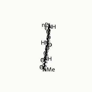 CCCNC(=O)COCCOCCNC(=O)COCCOCCNC(=O)CCCC(=O)NC